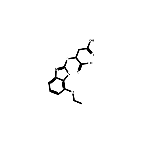 CCOc1cccc2nc(SC(CC(=O)O)C(=O)O)sc12